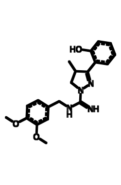 COc1ccc(CNC(=N)N2CC(C)C(c3ccccc3O)=N2)cc1OC